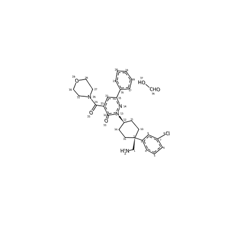 NC[C@]1(c2cccc(Cl)c2)CC[C@H](n2nc(-c3ccccc3)cc(C(=O)N3CCOCC3)c2=O)CC1.O=CO